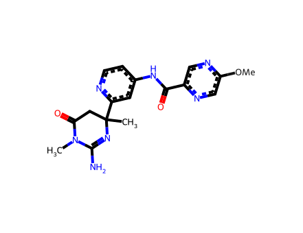 COc1cnc(C(=O)Nc2ccnc(C3(C)CC(=O)N(C)C(N)=N3)c2)cn1